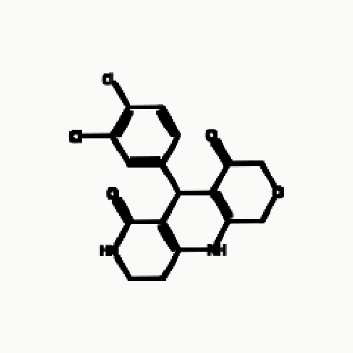 O=C1COCC2=C1C(c1ccc(Cl)c(Cl)c1)C1=C(CCNC1=O)N2